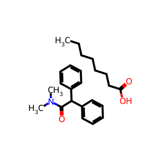 CCCCCCCC(=O)O.CN(C)C(=O)C(c1ccccc1)c1ccccc1